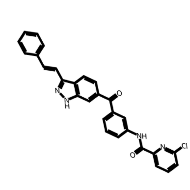 O=C(c1cccc(NC(=O)c2cccc(Cl)n2)c1)c1ccc2c(/C=C/c3ccccc3)n[nH]c2c1